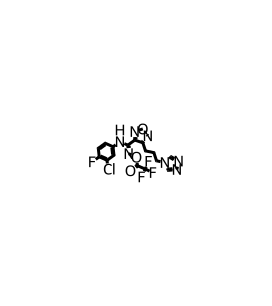 O=C(ON=C(Nc1ccc(F)c(Cl)c1)c1nonc1CCCn1cnnc1)C(F)(F)F